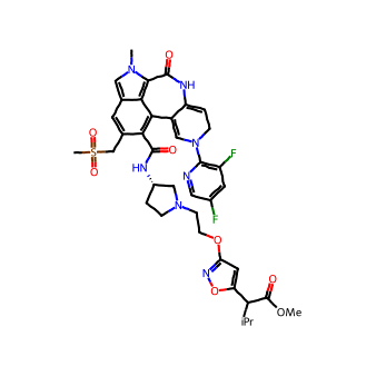 COC(=O)C(c1cc(OCCN2CC[C@H](NC(=O)c3c(CS(C)(=O)=O)cc4cn(C)c5c4c3C3=CN(c4ncc(F)cc4F)CC=C3NC5=O)C2)no1)C(C)C